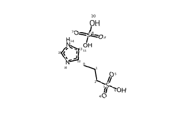 CCCS(=O)(=O)O.O=S(=O)(O)O.c1c[nH]cn1